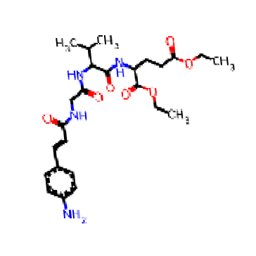 CCOC(=O)CCC(NC(=O)C(NC(=O)CNC(=O)/C=C/c1ccc(N)cc1)C(C)C)C(=O)OCC